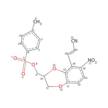 Cc1ccc(S(=O)(=O)OCC2COc3ccc([N+](=O)[O-])c(C=CC#N)c3O2)cc1